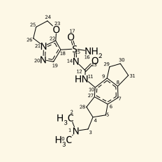 CN(C)CC1Cc2cc3c(c(NC(=O)N=S(N)(=O)c4cnn5c4OCCC5)c2C1)CCC3